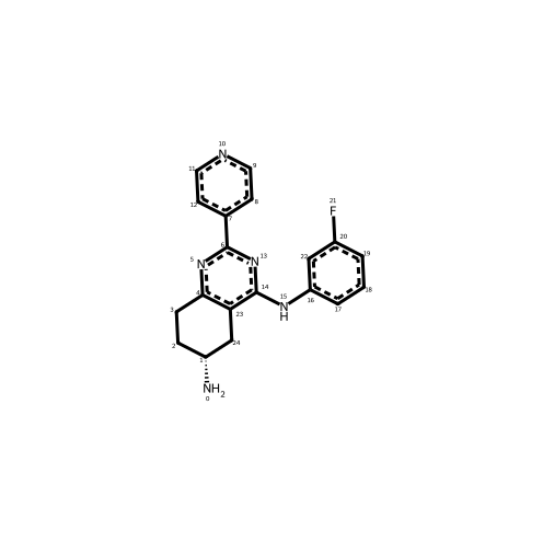 N[C@@H]1CCc2nc(-c3ccncc3)nc(Nc3cccc(F)c3)c2C1